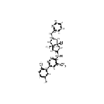 Fc1ccc(Cl)c(-c2cc(C(F)(F)F)c(NC3C[C@@H]4CN(Cc5ccccn5)C[C@@H]4C3)nn2)c1